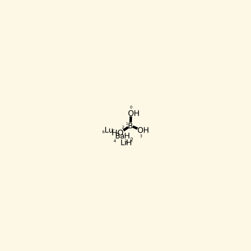 OB(O)O.[BaH2].[LiH].[Lu]